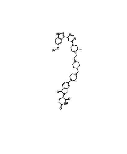 CC(C)Oc1ccc2[nH]nc(-c3cc(N4CCN(CCN5CCC(CN6CCN(c7ccc8c(c7)CN(C7CCC(=O)NC7=O)C8=O)CC6)CC5)[C@@H](C)C4)ncn3)c2c1